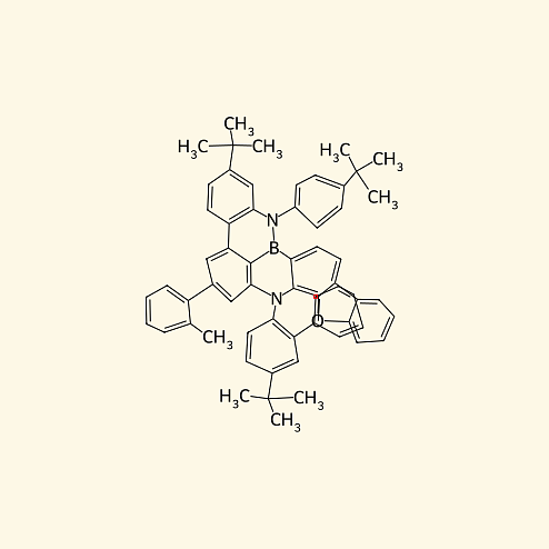 Cc1ccccc1-c1cc2c3c(c1)N(c1ccc(C(C)(C)C)cc1-c1ccccc1)c1c(ccc4c1oc1ccccc14)B3N(c1ccc(C(C)(C)C)cc1)c1cc(C(C)(C)C)ccc1-2